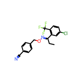 CC/C(=N\OCc1ccc(C#N)cc1)c1cc(Cl)ccc1C(F)(F)F